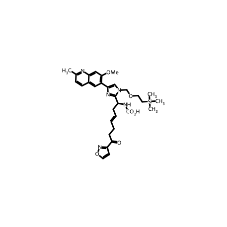 COc1cc2nc(C)ccc2cc1-c1cn(COCC[Si](C)(C)C)c(C(CC=CCCC(=O)c2ccon2)NC(=O)O)n1